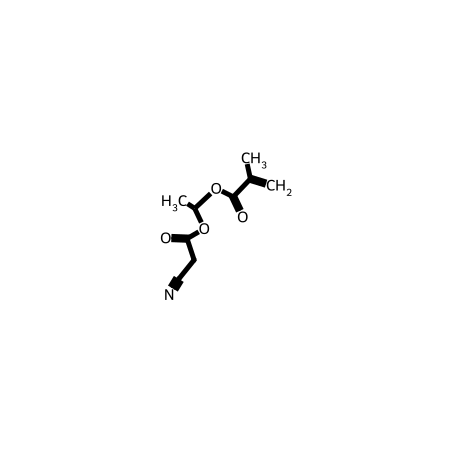 C=C(C)C(=O)OC(C)OC(=O)CC#N